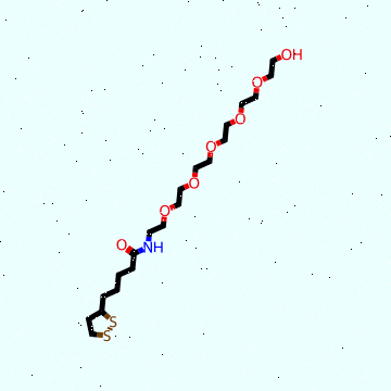 O=C(CCCCC1CCSS1)NCCOCCOCCOCCOCCOCCO